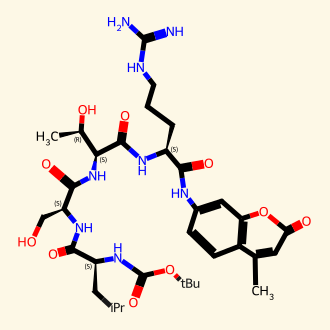 Cc1cc(=O)oc2cc(NC(=O)[C@H](CCCNC(=N)N)NC(=O)[C@@H](NC(=O)[C@H](CO)NC(=O)[C@H](CC(C)C)NC(=O)OC(C)(C)C)[C@@H](C)O)ccc12